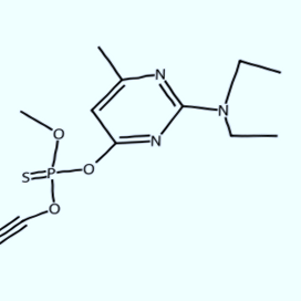 C#COP(=S)(OC)Oc1cc(C)nc(N(CC)CC)n1